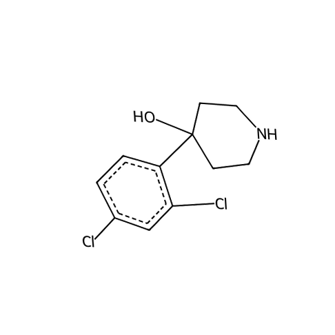 OC1(c2ccc(Cl)cc2Cl)CCNCC1